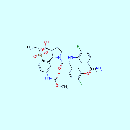 CCS(=O)(=O)c1ccc(NC(=O)OC)cc1[C@H]1[C@@H](C(=O)O)CCN1C(=O)[C@H](Nc1cc(C(N)=O)ccc1F)c1ccc(F)c(OC)c1